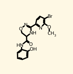 COc1nc(C2=NOCC(C(=O)Nc3ccccc3O)N2)ccc1Br